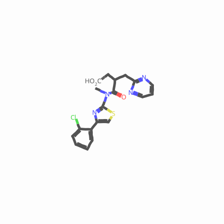 CN(C(=O)C(CC(=O)O)Cc1ncccn1)c1nc(-c2ccccc2Cl)cs1